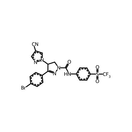 N#Cc1cnn(C2CN(C(=O)Nc3ccc(S(=O)(=O)C(F)(F)F)cc3)N=C2c2ccc(Br)cc2)c1